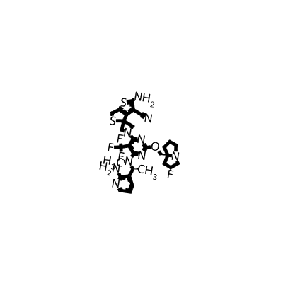 C[C@H](c1cccnc1N)N(C)c1nc(OC[C@@]23CCCN2C[C@H](F)C3)nc(N2CC3(C2)SCc2sc(N)c(C#N)c23)c1C(F)(F)F